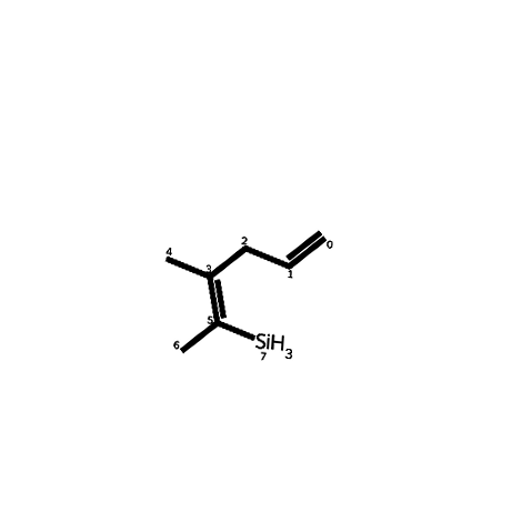 C=CCC(C)=C(C)[SiH3]